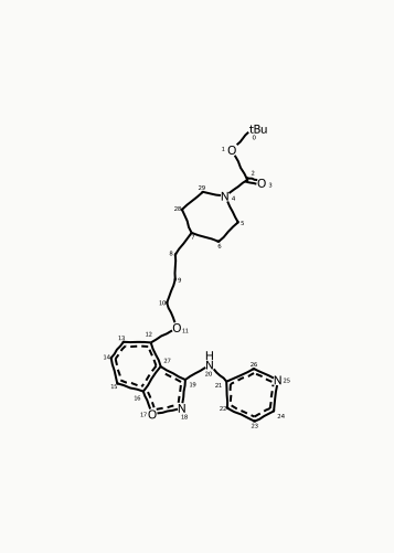 CC(C)(C)OC(=O)N1CCC(CCCOc2cccc3onc(Nc4cccnc4)c23)CC1